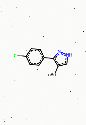 CCCCc1c[nH]nc1-c1ccc(Cl)cc1